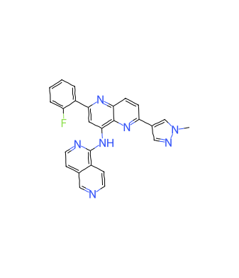 Cn1cc(-c2ccc3nc(-c4ccccc4F)cc(Nc4nccc5cnccc45)c3n2)cn1